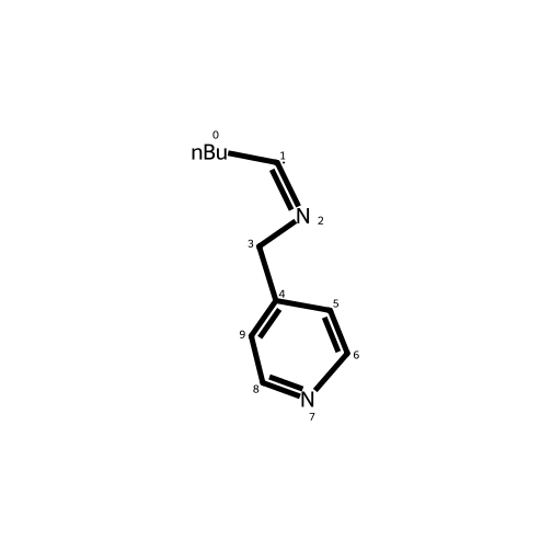 CCCC/[C]=N\Cc1ccncc1